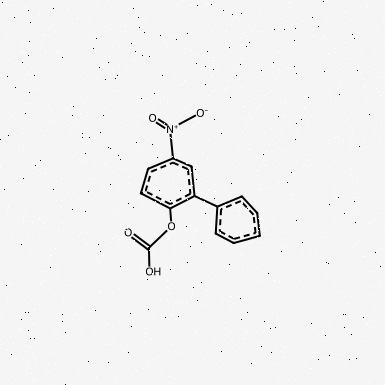 O=C(O)Oc1ccc([N+](=O)[O-])cc1-c1ccccc1